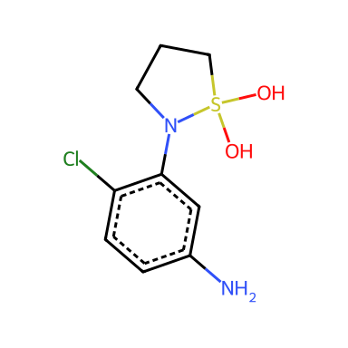 Nc1ccc(Cl)c(N2CCCS2(O)O)c1